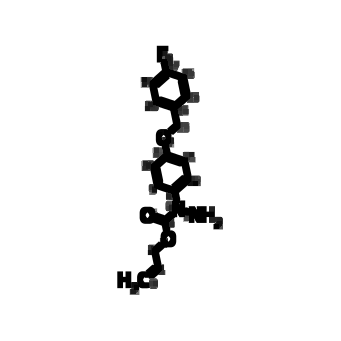 C=CCOC(=O)N(N)c1ccc(OCc2ccc(F)cc2)cc1